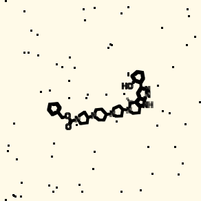 C[C@@H]1c2c([nH]c3nnc(-c4ccccc4O)cc23)CCN1C1CCN(C2CCN(C3CCN(C(=O)OCc4ccccc4)CC3)CC2)CC1